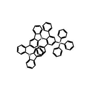 c1ccc(-c2cc([Si](c3ccccc3)(c3ccccc3)c3ccccc3)cc(-c3ccccc3)c2-n2c3ccccc3c3cc(-c4ccccc4-n4c5ccccc5c5ccccc54)ccc32)cc1